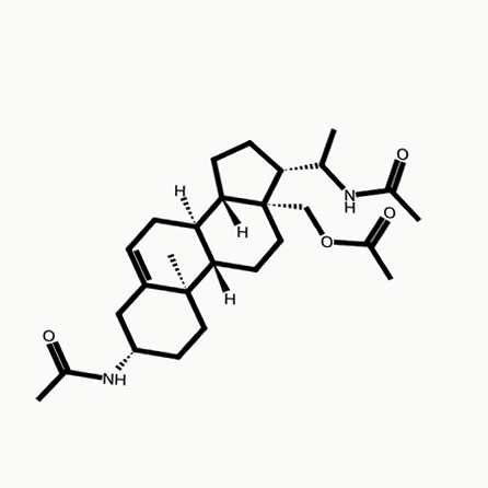 CC(=O)NC(C)[C@H]1CC[C@H]2[C@@H]3CC=C4C[C@@H](NC(C)=O)CC[C@]4(C)[C@H]3CC[C@]12COC(C)=O